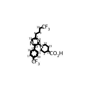 O=C(O)C1CCN(c2nc(CCCC(F)(F)F)cnc2-c2ccc(C(F)(F)F)cc2)CC1